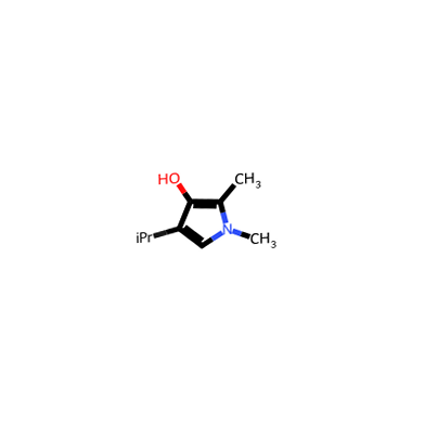 Cc1c(O)c(C(C)C)cn1C